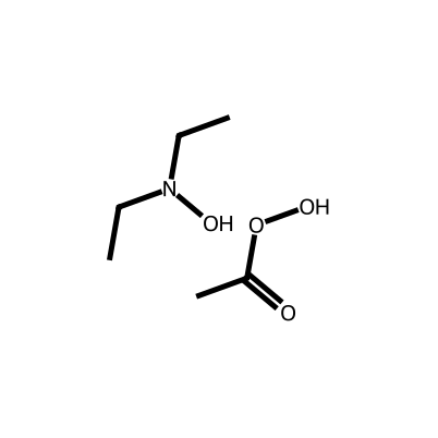 CC(=O)OO.CCN(O)CC